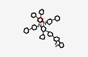 c1ccc(-c2ccc(N(c3ccc(-c4ccccc4)cc3)c3cc(-c4ccccc4)c(-c4ccc(-c5ccc6c(c5)sc5ccccc56)cc4)cc3N(c3ccc(-c4ccccc4)cc3)c3ccc(-c4ccccc4)cc3)cc2)cc1